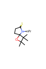 CCCN1C(=S)CCC12OC(C)(C)C2(C)C